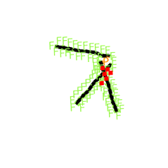 FC(F)(F)C(F)(F)C(F)(F)C(F)(F)C(F)(F)C(F)(F)C(F)(F)C(F)(F)C(F)(F)C(F)(F)P(C(F)(F)C(F)(F)C(F)(F)C(F)(F)C(F)(F)C(F)(F)C(F)(F)C(F)(F)C(F)(F)C(F)(F)F)C(F)(F)C(F)(F)C(F)(F)C(F)(F)C(F)(F)C(F)(F)C(F)(F)C(F)(F)C(F)(F)C(F)(F)F